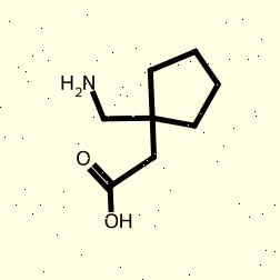 NCC1(CC(=O)O)CCCC1